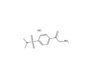 CN(C)S(=O)(=O)c1ccc(C(=O)CN)cc1.Cl